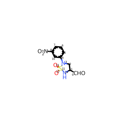 O=CC1CN(c2cccc([N+](=O)[O-])c2)S(=O)(=O)N1